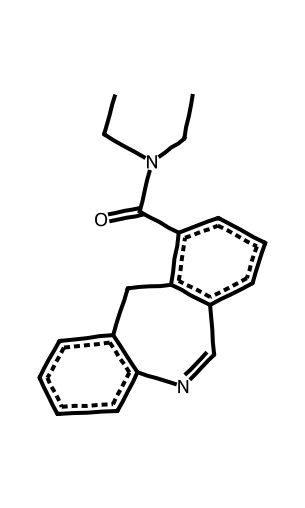 CCN(CC)C(=O)c1cccc2c1Cc1ccccc1N=C2